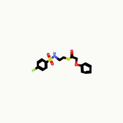 O=C(COc1ccccc1)SCCNS(=O)(=O)c1ccc(F)cc1